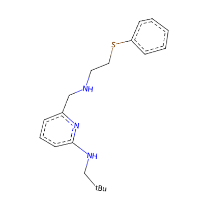 CC(C)(C)CNc1cccc(CNCCSc2ccccc2)n1